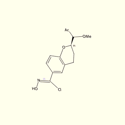 COC(C(C)=O)[C@H]1CCc2cc(/C(Cl)=N/O)ccc2O1